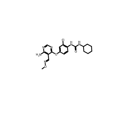 CON=Cc1c(N)ncnc1Oc1ccc(NC(=O)NC2CCCCC2)c(Cl)c1